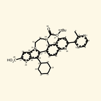 Cc1nccnc1-c1ccc2c3c(ccc2n1)-c1c(C2CCCCC2)c2sc(C(=O)O)cc2n1CCN3C(=O)OC(C)(C)C